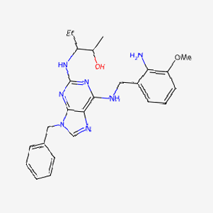 CCC(Nc1nc(NCc2cccc(OC)c2N)c2ncn(Cc3ccccc3)c2n1)C(C)O